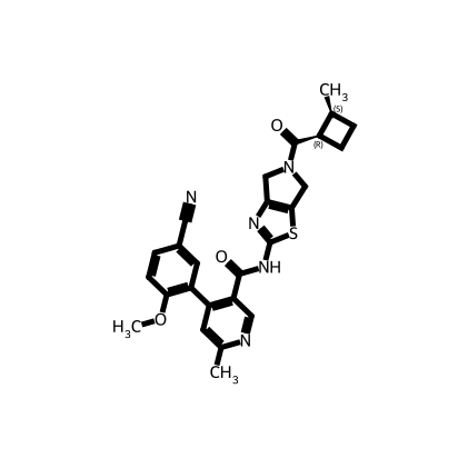 COc1ccc(C#N)cc1-c1cc(C)ncc1C(=O)Nc1nc2c(s1)CN(C(=O)[C@@H]1CC[C@@H]1C)C2